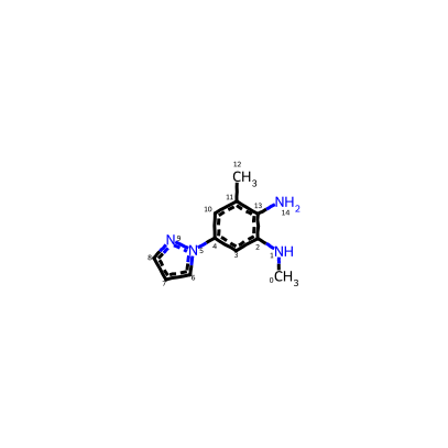 CNc1cc(-n2cccn2)cc(C)c1N